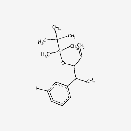 C=CC(O[Si](C)(C)C(C)(C)C)C(C)c1cccc(I)c1